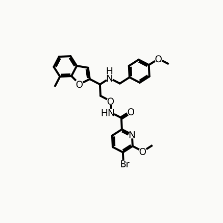 COc1ccc(CNC(CONC(=O)c2ccc(Br)c(OC)n2)c2cc3cccc(C)c3o2)cc1